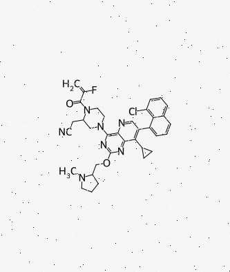 C=C(F)C(=O)N1CCN(c2nc(OCC3CCCN3C)nc3c(C4CC4)c(-c4cccc5cccc(Cl)c45)cnc23)CC1CC#N